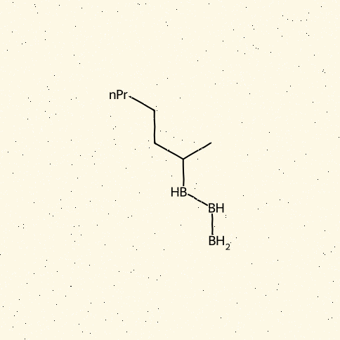 BBBC(C)CCCCC